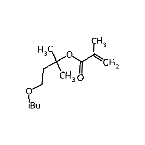 C=C(C)C(=O)OC(C)(C)CCOC(C)CC